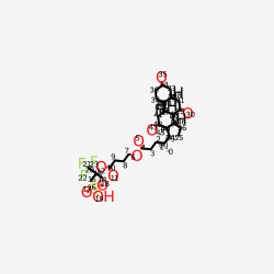 C[C@H](CCC(=O)OCCCC(=O)OC(C)(CS(=O)(=O)O)C(F)(F)F)[C@H]1CC[C@H]2[C@@H]3C(=O)C[C@@H]4CC(=O)CC[C@]4(C)[C@H]3CC(=O)[C@]12C